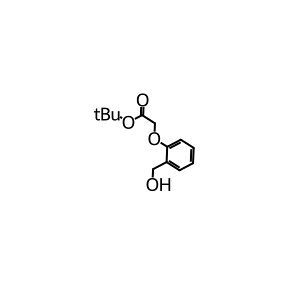 CC(C)(C)OC(=O)COc1ccccc1CO